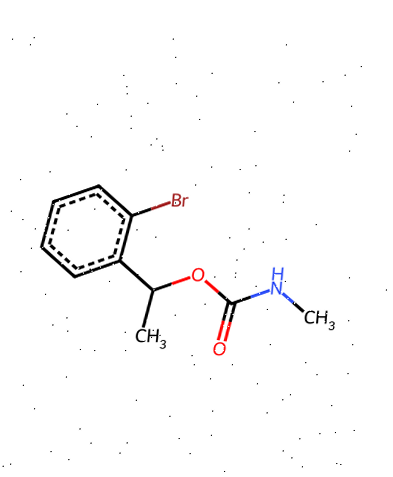 CNC(=O)OC(C)c1ccccc1Br